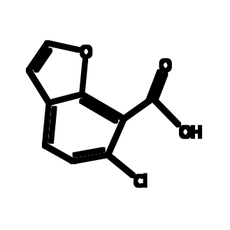 O=C(O)c1c(Cl)ccc2ccoc12